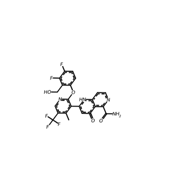 Cc1c(C(F)(F)F)cnc(Oc2ccc(F)c(F)c2CO)c1-c1cc(=O)c2c(C(N)=O)nccc2[nH]1